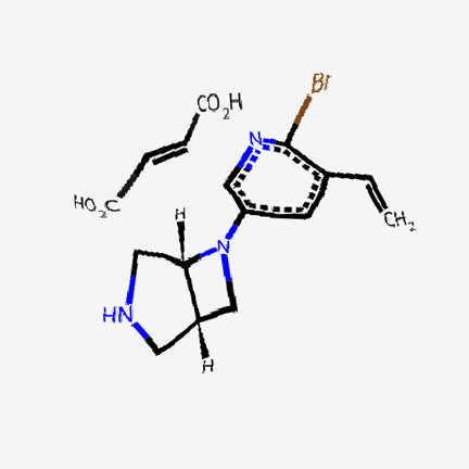 C=Cc1cc(N2C[C@@H]3CNC[C@@H]32)cnc1Br.O=C(O)/C=C/C(=O)O